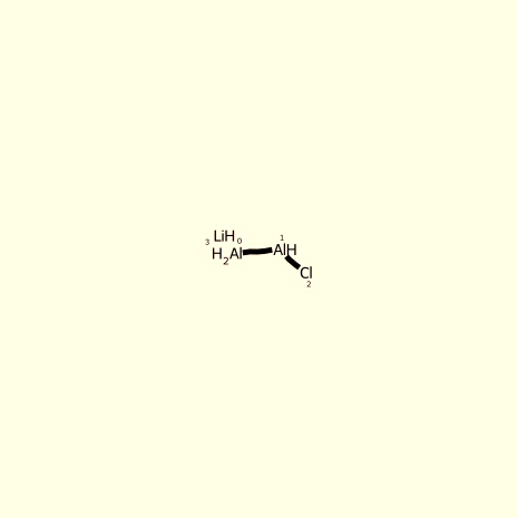 [AlH2][AlH][Cl].[LiH]